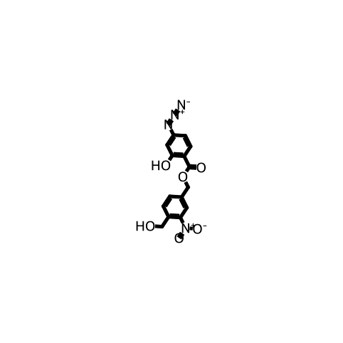 [N-]=[N+]=Nc1ccc(C(=O)OCc2ccc(CO)c([N+](=O)[O-])c2)c(O)c1